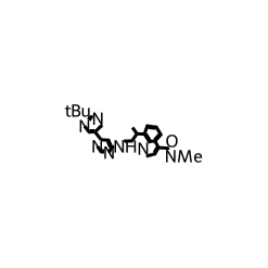 CNC(=O)c1ccnc2c(C(C)CCNc3cc(-c4cnc(C(C)(C)C)nc4)ncn3)cccc12